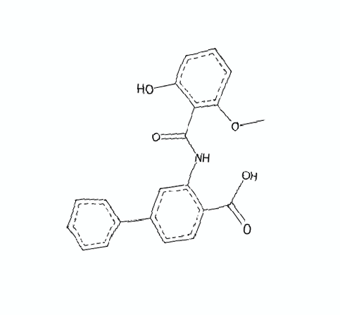 COc1cccc(O)c1C(=O)Nc1cc(-c2ccccc2)ccc1C(=O)O